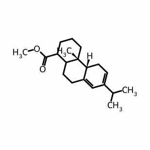 COC(=O)C1CCC[C@@]2(C)C1CCC1=CC(C(C)C)=CC[C@H]12